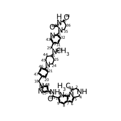 C[C@@H]1CNCc2cc3ccc(C(=O)Nc4cnn(Cc5ccc(N6CCC(N(C)Cc7ccc(N8CCC(=O)NC8=O)nc7)CC6)cc5)c4)nc3n21